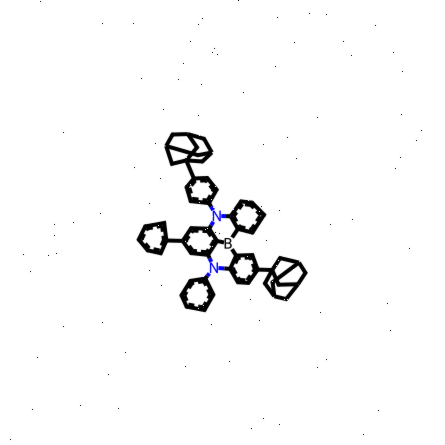 c1ccc(-c2cc3c4c(c2)N(c2ccccc2)c2ccc(C56CC7CC(CC(C7)C5)C6)cc2B4c2ccccc2N3c2ccc(C34CC5CC(CC(C5)C3)C4)cc2)cc1